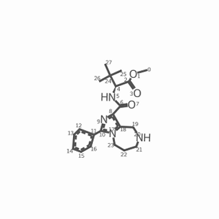 COC(=O)[C@@H](NC(=O)c1nc(-c2ccccc2)n2c1CNCCC2)C(C)(C)C